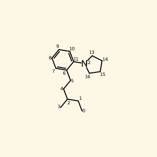 CCC(C)CCc1ccccc1N1CCCC1